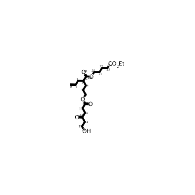 C=CCC(CCCOC(=O)CCC(=O)CCO)C(=O)OCCCCC(=O)OCC